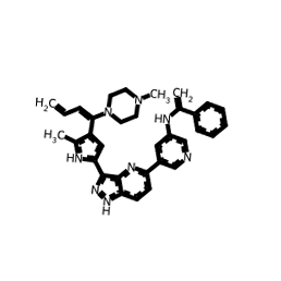 C=C/C=C(\c1cc(-c2n[nH]c3ccc(-c4cncc(NC(=C)c5ccccc5)c4)nc23)[nH]c1C)N1CCN(C)CC1